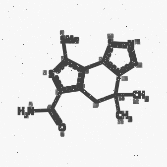 CSc1sc(C(N)=O)c2c1-c1sncc1C(C)(C)C2